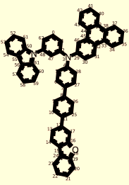 c1cc(N(c2ccc(-c3ccc(-c4ccc5c(c4)oc4ccccc45)cc3)cc2)c2ccc3c4ccccc4c4ccccc4c3c2)cc(-n2c3ccccc3c3ccccc32)c1